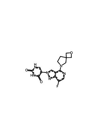 O=c1[nH]cc(-n2cc3c(N4CCC5(COC5)C4)ncc(F)c3n2)c(=O)[nH]1